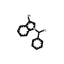 CCC(c1ccccc1)n1cc(C(C)C)c2ccccc21